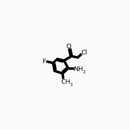 Cc1cc(F)cc(C(=O)CCl)c1N